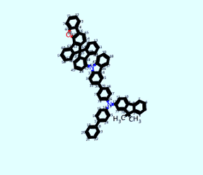 CC1(C)c2ccccc2-c2ccc(N(c3ccc(-c4ccccc4)cc3)c3ccc(-c4ccc5c(c4)c4ccccc4n5-c4cccc5c4-c4ccccc4C54c5ccccc5-c5c4ccc4c5oc5ccccc54)cc3)cc21